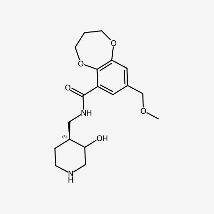 COCc1cc2c(c(C(=O)NC[C@@H]3CCNCC3O)c1)OCCCO2